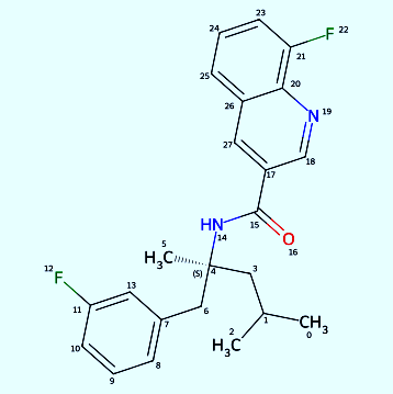 CC(C)C[C@@](C)(Cc1cccc(F)c1)NC(=O)c1cnc2c(F)cccc2c1